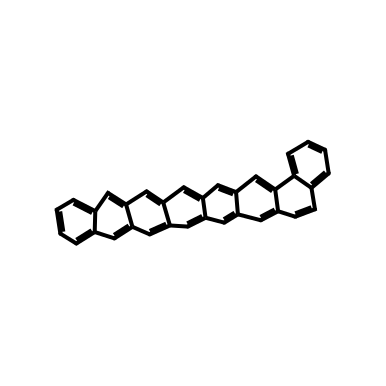 c1ccc2cc3cc4cc5cc6cc7c(ccc8ccccc87)cc6cc5cc4cc3cc2c1